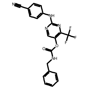 N#Cc1ccc(Nc2ncc(OC(=O)NCc3ccccc3)c(C(F)(F)F)n2)cc1